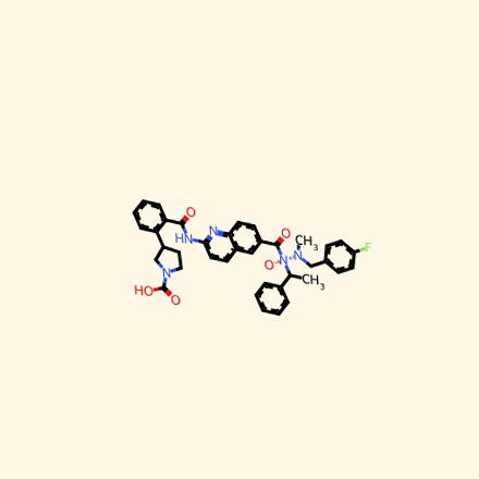 CC(c1ccccc1)[N+]([O-])(C(=O)c1ccc2nc(NC(=O)c3ccccc3C3CCN(C(=O)O)C3)ccc2c1)N(C)Cc1ccc(F)cc1